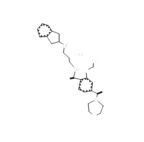 CCOc1cc(C(=O)N2CCOCC2)ccc1C(=O)NC[C@@H](O)CNC1Cc2ccccc2C1